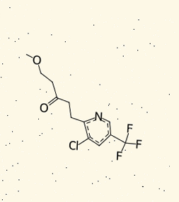 COCCC(=O)CCc1ncc(C(F)(F)F)cc1Cl